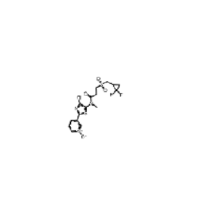 CN(C(=O)CCS(=O)(=O)CC1CC1(F)F)c1sc(-c2ccc[n+]([O-])c2)nc1Cl